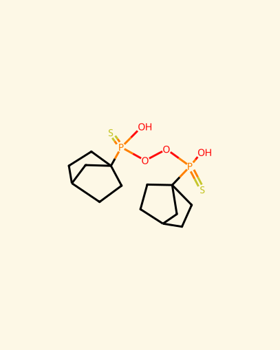 OP(=S)(OOP(O)(=S)C12CCC(CC1)C2)C12CCC(CC1)C2